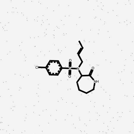 CC=CCN(C1CCCCNC1=O)S(=O)(=O)c1ccc(Cl)cc1